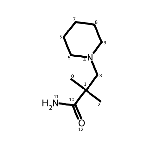 CC(C)(CN1CCCCC1)C(N)=O